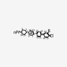 CCCC1CCC([Si@H]2CC[C@H](c3ccc(-c4ccc(Cl)c(F)c4)cc3)CC2)CC1